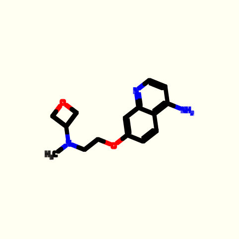 CN(CCOc1ccc2c(N)ccnc2c1)C1COC1